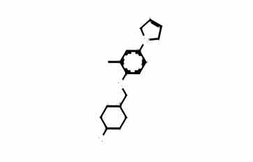 Cc1cc(N2CC=CC2)ccc1NCC1CCC(N)CC1